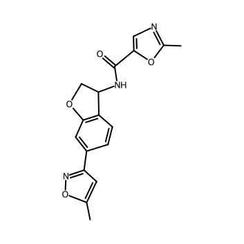 Cc1cc(-c2ccc3c(c2)OCC3NC(=O)c2cnc(C)o2)no1